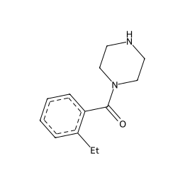 CCc1ccccc1C(=O)N1CCNCC1